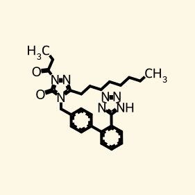 CCCCCCCCc1nn(C(=O)CC)c(=O)n1Cc1ccc(-c2ccccc2-c2nnn[nH]2)cc1